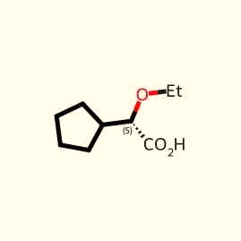 CCO[C@H](C(=O)O)C1CCCC1